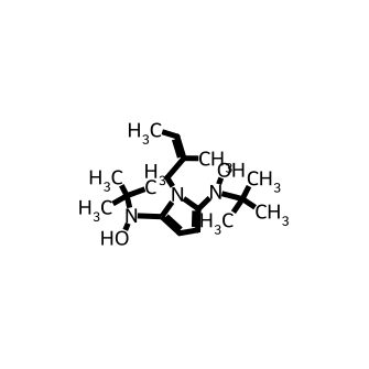 C/C=C(/C)Cn1c(N(O)C(C)(C)C)ccc1N(O)C(C)(C)C